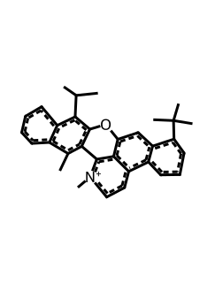 Cc1c2c(c(C(C)C)c3ccccc13)Oc1cc3c(C(C)(C)C)cccc3c3cc[n+](C)c-2c13